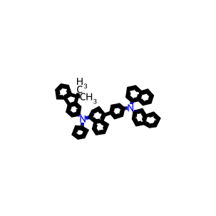 CC1(C)c2ccccc2-c2ccc(N(c3ccccc3)c3ccc(-c4ccc(N(c5ccc6ccccc6c5)c5cccc6ccccc56)cc4)c4ccccc34)cc21